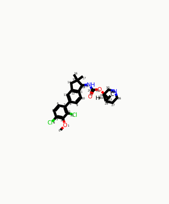 COc1c(Cl)ccc(-c2ccc3c(c2)CC(C)(C)C3NC(=O)O[C@H]2CN3CCC2CC3)c1Cl